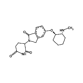 CN[C@@H]1CCCC[C@H]1Oc1ccc2c(c1)CN(C1CCC(=O)NC1=O)C2=O